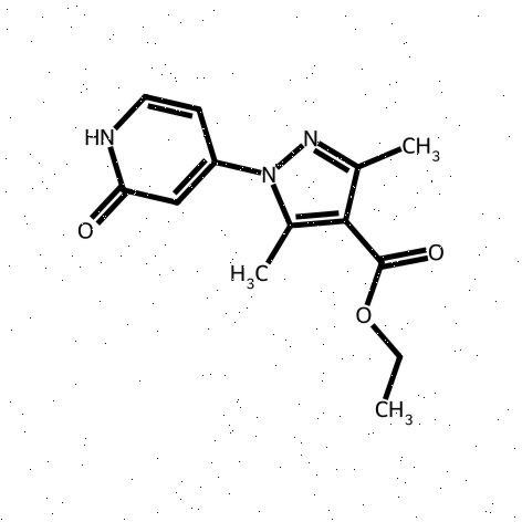 CCOC(=O)c1c(C)nn(-c2cc[nH]c(=O)c2)c1C